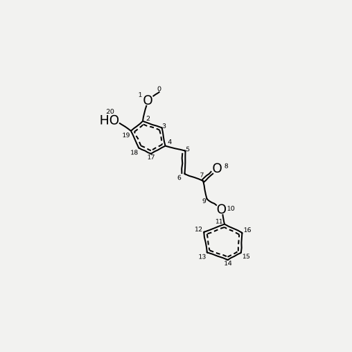 COc1cc(C=CC(=O)COc2ccccc2)ccc1O